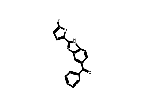 O=C(c1ccccc1)c1ccc2[nH]c(-c3ccc(Br)o3)nc2c1